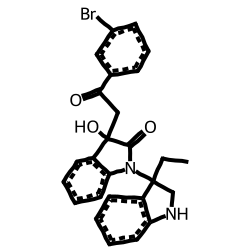 CCC1(N2C(=O)C(O)(CC(=O)c3cccc(Br)c3)c3ccccc32)CNc2ccccc21